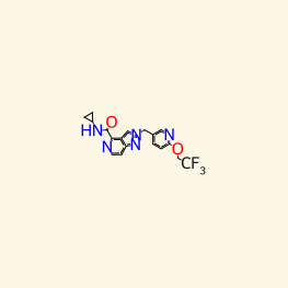 O=C(NC1CC1)c1nccc2nn(Cc3ccc(OCC(F)(F)F)nc3)cc12